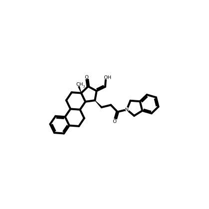 C[C@]12CCC3c4ccccc4CCC3C1[C@H](CCC(=O)N1Cc3ccccc3C1)/C(=C/O)C2=O